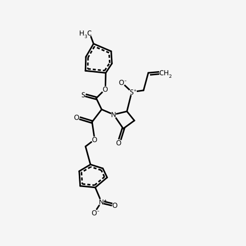 C=CC[S+]([O-])C1CC(=O)N1C(C(=O)OCc1ccc([N+](=O)[O-])cc1)C(=S)Oc1ccc(C)cc1